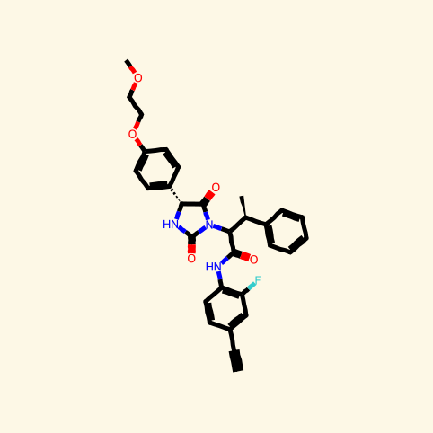 C#Cc1ccc(NC(=O)C([C@@H](C)c2ccccc2)N2C(=O)N[C@H](c3ccc(OCCOC)cc3)C2=O)c(F)c1